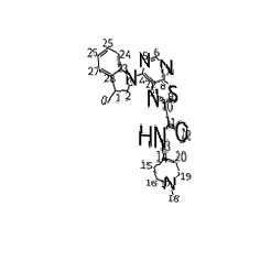 CC1CN(c2ncnc3sc(C(=O)NC4CCN(C)CC4)nc23)c2ccccc21